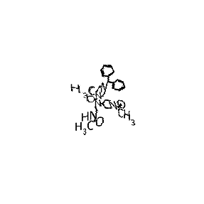 CC(=O)NCCN(C(=O)N1CCN(C(c2ccccc2)c2ccccc2)CC1C)C1CCN(C(C)=O)CC1